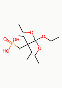 CCO[Si](OCC)(OCC)C([CH]P(=O)(O)O)(CC)CC